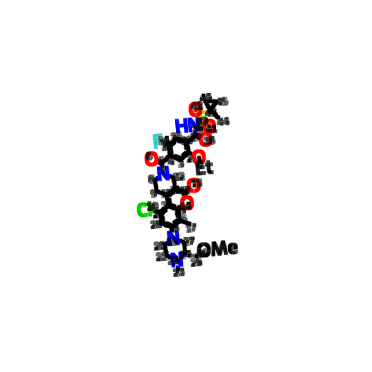 CCOc1cc(C(=O)N2CCc3c(c(=O)oc4c(C)c(N5CCN(C)[C@@H](COC)C5)cc(Cl)c34)C2)c(F)cc1C(=O)NS(=O)(=O)C1(C)CC1